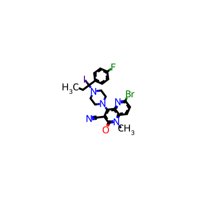 CCC(I)(c1ccc(F)cc1)N1CCN(c2c(C#N)c(=O)n(C)c3ccc(Br)nc23)CC1